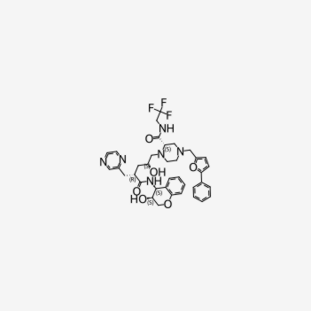 O=C(N[C@H]1c2ccccc2OC[C@H]1O)[C@H](Cc1cnccn1)C[C@H](O)CN1CCN(Cc2ccc(-c3ccccc3)o2)C[C@H]1C(=O)NCC(F)(F)F